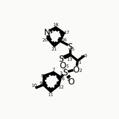 [CH2]C(OS(=O)(=O)c1ccc(C)cc1)C(=S)Sc1ccncc1